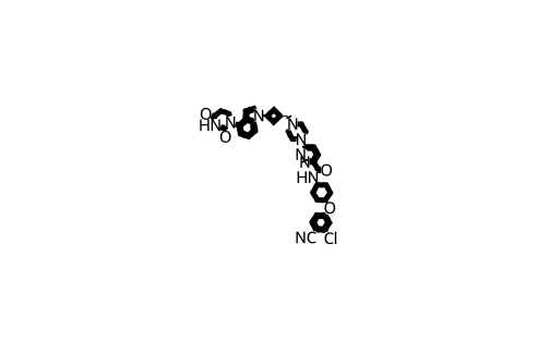 N#Cc1ccc(O[C@H]2CC[C@H](NC(=O)c3ccc(N4CCN(C[C@H]5C[C@H](n6ccc7c(N8CCC(=O)NC8=O)cccc76)C5)CC4)nn3)CC2)cc1Cl